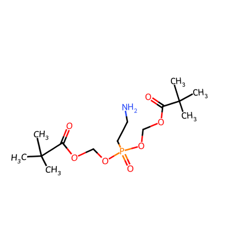 CC(C)(C)C(=O)OCOP(=O)(CCN)OCOC(=O)C(C)(C)C